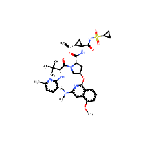 C=C[C@@H]1C[C@]1(NC(=O)[C@@H]1C[C@@H](Oc2nc(N(C)C)cc3c(OC)cccc23)CN1C(=O)[C@H](Nc1cccc(C)n1)C(C)(C)C)C(=O)NS(=O)(=O)C1CC1